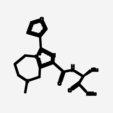 CNC(=O)[C@@H](NC(=O)c1nc(-c2ccoc2)n2c1CN(C)CCC2)C(C)(C)C